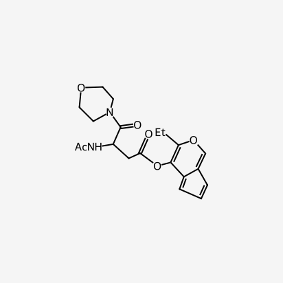 [CH2]Cc1occ2cccc-2c1OC(=O)CC(NC(C)=O)C(=O)N1CCOCC1